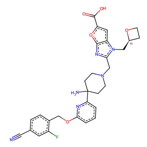 N#Cc1ccc(COc2cccc(C3(N)CCN(Cc4nc5oc(C(=O)O)cc5n4C[C@@H]4CCO4)CC3)n2)c(F)c1